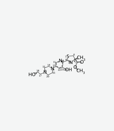 COC(=O)[C@@]1(C)CSC(c2ncc(N3CCN(CCO)CC3)cc2O)=N1